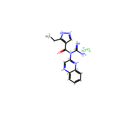 CCc1[nH]ncc1C(=O)N(C(=N)N)c1cnc2ccccc2n1.Cl.Cl